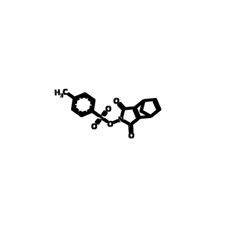 Cc1ccc(S(=O)(=O)ON2C(=O)C3=C(C2=O)C2C=CC3C2)cc1